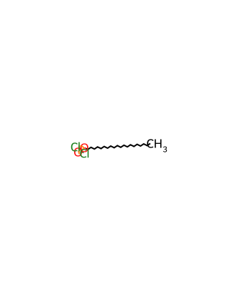 CCCCCCCCCCCCCCCCCCCCOP(=O)(Cl)Cl